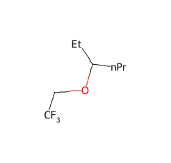 CCCC(CC)OCC(F)(F)F